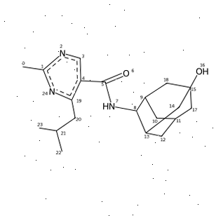 Cc1ncc(C(=O)NC2C3CC4CC2CC(O)(C4)C3)c(CC(C)C)n1